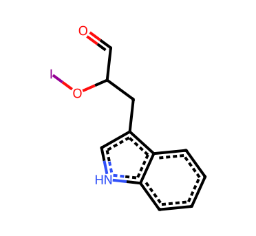 O=CC(Cc1c[nH]c2ccccc12)OI